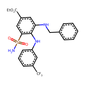 CCOC(=O)c1cc(NCc2ccccc2)c(Nc2cccc(C(F)(F)F)c2)c(S(N)(=O)=O)c1